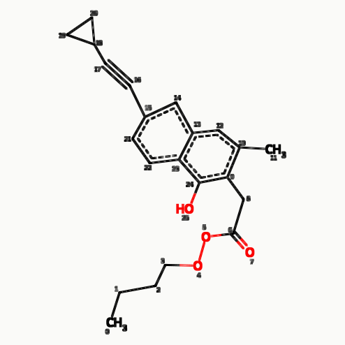 CCCCOOC(=O)Cc1c(C)cc2cc(C#CC3CC3)ccc2c1O